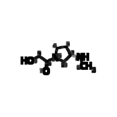 CN[C@H]1CCN(C(=O)CO)C1